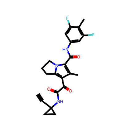 C#CC1(NC(=O)C(=O)c2c(C)c(C(=O)Nc3cc(F)c(C)c(F)c3)n3c2CCC3)CC1